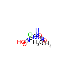 CC(C)C(=O)N1CCC(Oc2nc3nc(-c4ccc(N5CCC(C(=O)O)CC5)cc4)c(Cl)cc3[nH]2)CC1